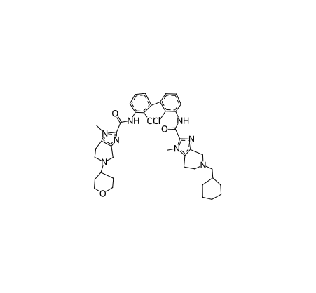 Cn1c(C(=O)Nc2cccc(-c3cccc(NC(=O)c4nc5c(n4C)CCN(C4CCOCC4)C5)c3Cl)c2Cl)nc2c1CCN(CC1CCCCC1)C2